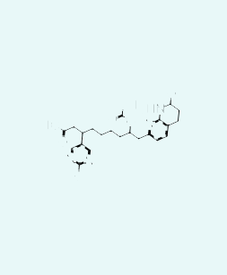 CC(=O)OC(CCCCC(CC(=O)O)c1cnc(C)nc1)Cc1ccc2c(n1)NC(O)CC2